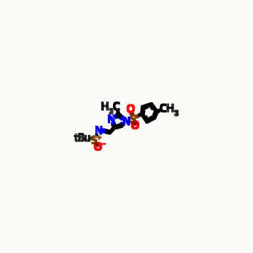 Cc1ccc(S(=O)(=O)n2cc(/C=N/[S+]([O-])C(C)(C)C)nc2C)cc1